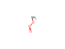 O=[O+]O[SiH3]